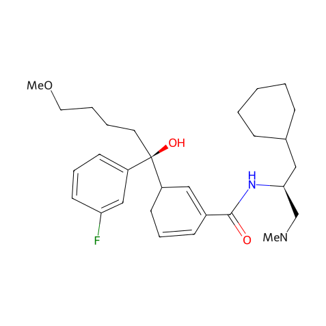 CNC[C@H](CC1CCCCC1)NC(=O)C1=CC([C@@](O)(CCCCOC)c2cccc(F)c2)CC=C1